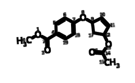 COC(=O)c1ccc(OC2C=CC(OC(C)=O)C2)cc1